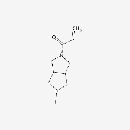 C=CC(=O)N1CC2CN(I)CC2C1